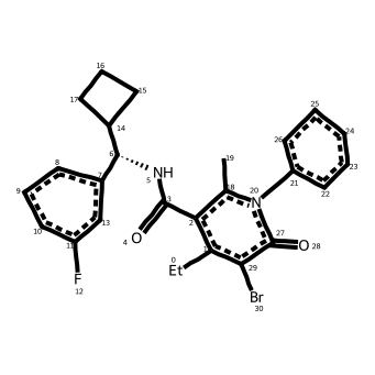 CCc1c(C(=O)N[C@H](c2cccc(F)c2)C2CCC2)c(C)n(-c2ccccc2)c(=O)c1Br